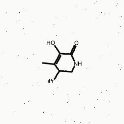 CC1=C(O)C(=O)NCC1C(C)C